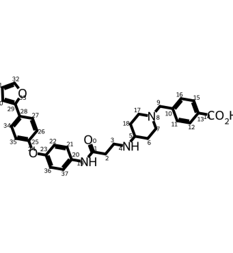 O=C(CCNC1CCN(Cc2ccc(C(=O)O)cc2)CC1)Nc1ccc(Oc2ccc(-c3ccco3)cc2)cc1